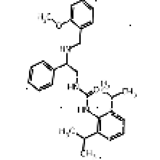 COc1ccccc1CN[C@@H](CNC(=O)Nc1c(C(C)C)cccc1C(C)C)c1ccccc1